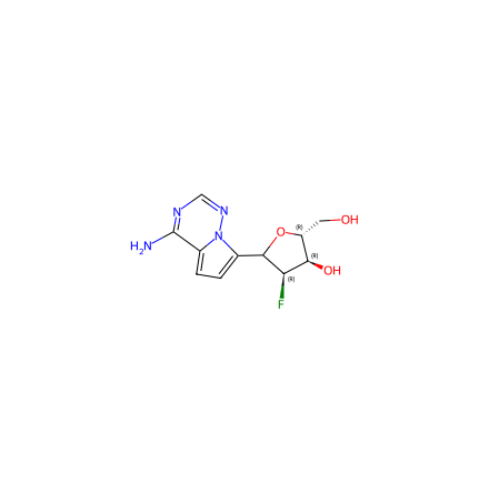 Nc1ncnn2c(C3O[C@H](CO)[C@@H](O)[C@H]3F)ccc12